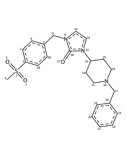 CS(=O)(=O)c1ccc(Cn2ccn(C3CCN(Cc4ccccc4)CC3)c2=O)cc1